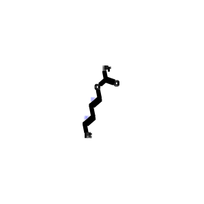 CC/C=C/C=C/OC(=O)C(C)C